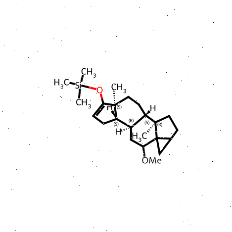 COC1C[C@H]2[C@@H]3CC=C(O[Si](C)(C)C)[C@@]3(C)CC[C@@H]2[C@@]2(C)CCC3CC312